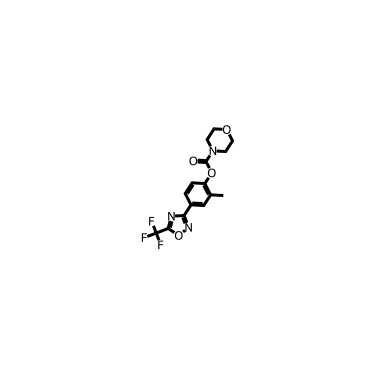 Cc1cc(-c2noc(C(F)(F)F)n2)ccc1OC(=O)N1CCOCC1